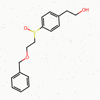 [O-][S+](CCOCc1ccccc1)c1ccc(CCO)cc1